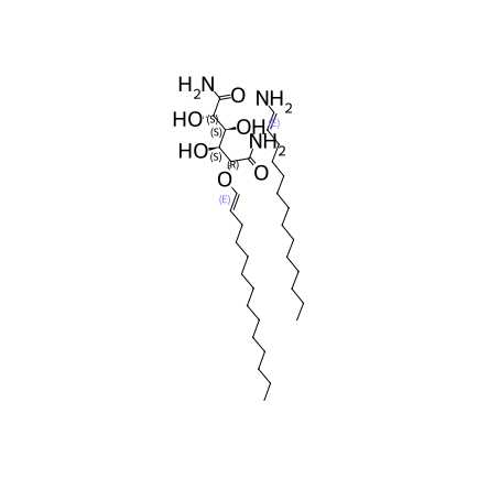 CCCCCCCCCCCC/C=C/N.CCCCCCCCCCCC/C=C/O[C@@H](C(N)=O)[C@@H](O)[C@H](O)[C@H](O)C(N)=O